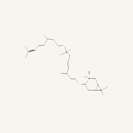 CC(C)=CCCC(C)CCOC(C)(C)CCCC(C)CCOC1C[C@H]2[C@@H](C[C@@]1(C)O)C2(C)C